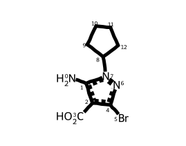 Nc1c(C(=O)O)c(Br)nn1C1CCCC1